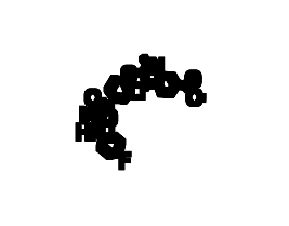 COC(=O)c1ccc2c(Cl)c(Oc3ccc(NC(=O)C4(C(=O)Nc5ccc(F)cc5)CC4)cc3)c(C)nc2c1